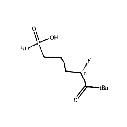 CC(C)(C)C(=O)[C@@H](F)CCCP(=O)(O)O